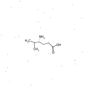 CC(C)[C@H](N)CCC(=O)O